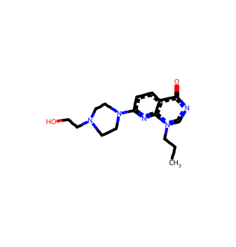 CCCn1cnc(=O)c2ccc(N3CCN(CCO)CC3)nc21